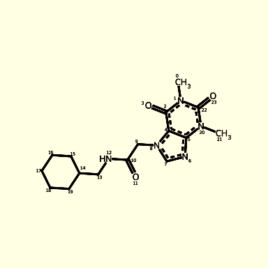 Cn1c(=O)c2c(ncn2CC(=O)NCC2CCCCC2)n(C)c1=O